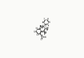 Fc1c(-c2ccccc2)nc2cccc(C3CC3)c2c1F